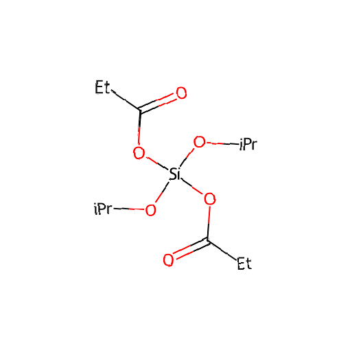 CCC(=O)O[Si](OC(=O)CC)(OC(C)C)OC(C)C